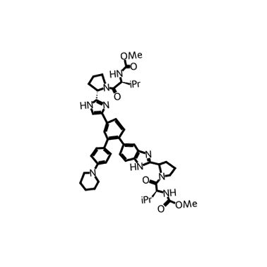 COC(=O)N[C@H](C(=O)N1CCCC1c1nc2cc(-c3ccc(-c4c[nH]c([C@@H]5CCCN5C(=O)[C@@H](NC(=O)OC)C(C)C)n4)cc3-c3ccc(N4CCCCC4)cc3)ccc2[nH]1)C(C)C